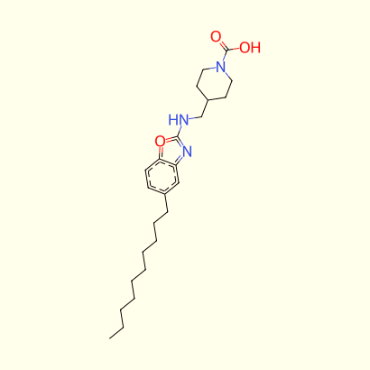 CCCCCCCCCCc1ccc2oc(NCC3CCN(C(=O)O)CC3)nc2c1